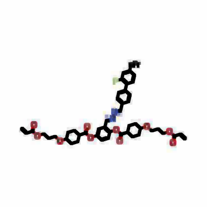 C=CC(=O)OCCCOC1CCC(C(=O)Oc2ccc(OC(=O)C3CCC(OCCCOC(=O)C=C)CC3)c(/C=N/N=C/c3ccc(-c4ccc(CCC)cc4F)cc3)c2)CC1